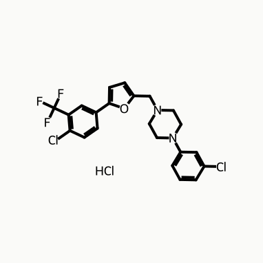 Cl.FC(F)(F)c1cc(-c2ccc(CN3CCN(c4cccc(Cl)c4)CC3)o2)ccc1Cl